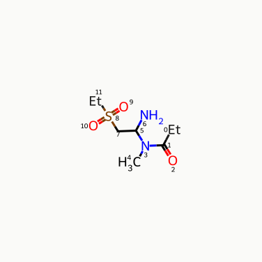 CCC(=O)N(C)C(N)CS(=O)(=O)CC